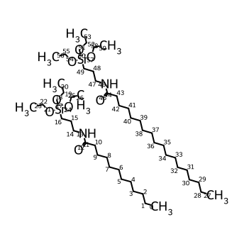 CCCCCCCCCCCC(=O)NCCC[Si](OCC)(OCC)OCC.CCCCCCCCCCCCCCCCCC(=O)NCCC[Si](OCC)(OCC)OCC